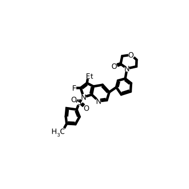 CCc1c(F)n(S(=O)(=O)c2ccc(C)cc2)c2ncc(-c3cccc(N4CCOCC4=O)c3)cc12